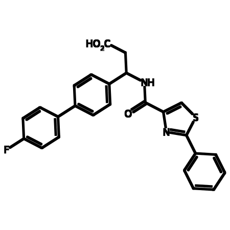 O=C(O)CC(NC(=O)c1csc(-c2ccccc2)n1)c1ccc(-c2ccc(F)cc2)cc1